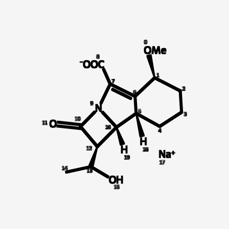 CO[C@H]1CCC[C@H]2C1=C(C(=O)[O-])N1C(=O)[C@H](C(C)O)[C@@H]21.[Na+]